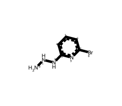 NNNc1cccc(Br)n1